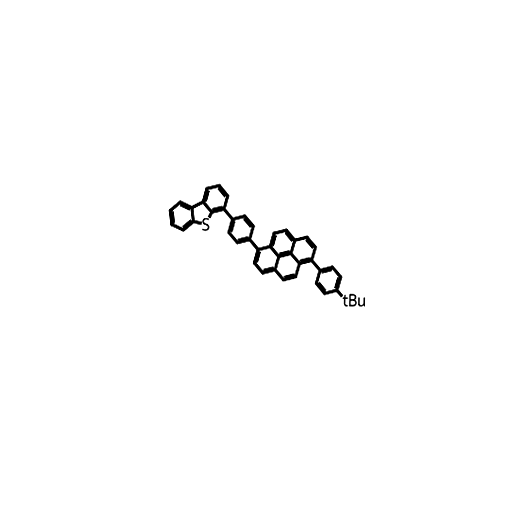 CC(C)(C)c1ccc(-c2ccc3ccc4c(-c5ccc(-c6cccc7c6sc6ccccc67)cc5)ccc5ccc2c3c54)cc1